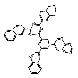 C1=C(C2=NC(c3ccc4ccccc4c3)NC(C3=CC(c4cnc5ccccc5c4)=CC(c4cnc5ccccc5c4)C3)=N2)C=C2CCCCC2C1